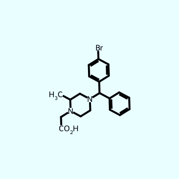 CC1CN(C(c2ccccc2)c2ccc(Br)cc2)CCN1CC(=O)O